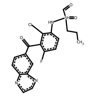 CCC[SH](=O)(C=O)Nc1ccc(F)c(C(=O)c2ccc3nccnc3c2)c1Cl